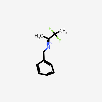 C/C(=N\Cc1ccccc1)C(F)(F)C(F)(F)F